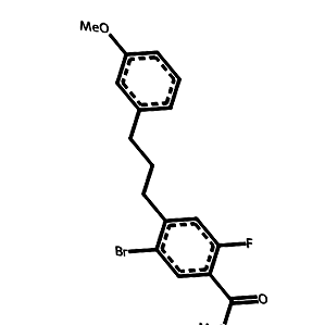 COC(=O)c1cc(Br)c(CCCc2cccc(OC)c2)cc1F